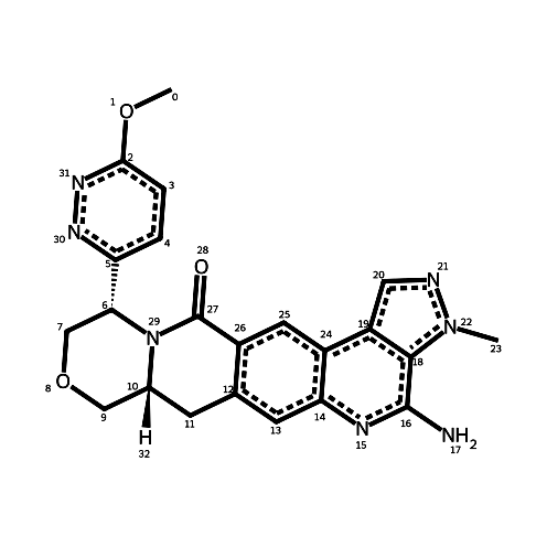 COc1ccc([C@H]2COC[C@H]3Cc4cc5nc(N)c6c(cnn6C)c5cc4C(=O)N32)nn1